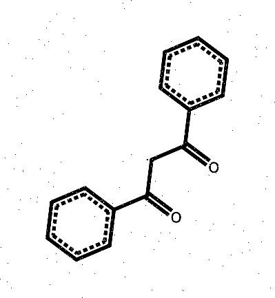 O=C([CH]C(=O)c1ccccc1)c1ccccc1